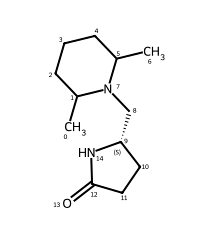 CC1CCCC(C)N1C[C@@H]1CCC(=O)N1